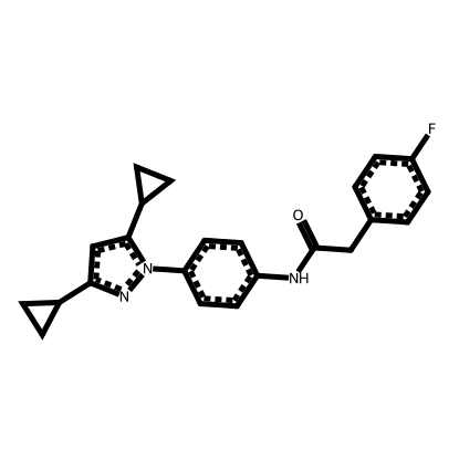 O=C(Cc1ccc(F)cc1)Nc1ccc(-n2nc(C3CC3)cc2C2CC2)cc1